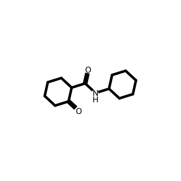 O=C1CCCCC1C(=O)NC1CCCCC1